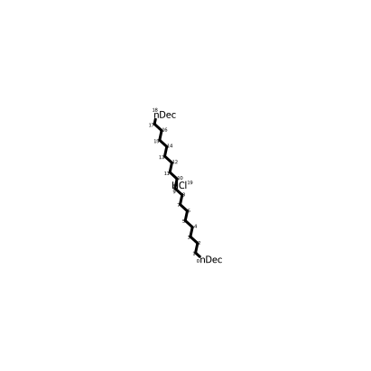 CCCCCCCCCCCCCCCCCCCCCCCCCCCCCCCCCCCCC.Cl